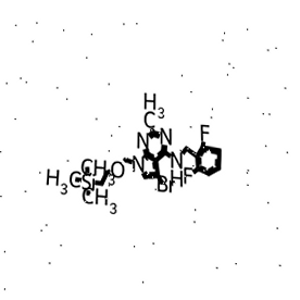 Cc1nc(NCc2c(F)cccc2F)c2c(Br)cn(COCC[Si](C)(C)C)c2n1